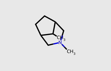 CC1C2CCC1CN(C)C2